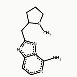 CN1CCCC1Cc1nc2ccnc(N)n2n1